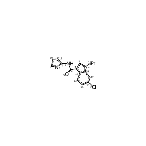 CC(C)n1cc(C(=O)Nc2nccs2)c2ccc(Cl)cc21